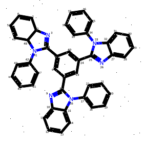 C1=CC2N=C(c3cc(-c4nc5ccccc5n4-c4ccccc4)cc(-c4nc5ccccc5n4-c4ccccc4)c3)N(c3ccccc3)C2C=C1